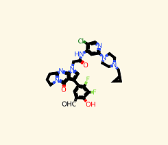 O=Cc1cc(-c2cn(CC(=O)Nc3cc(N4CCN(CC5CC5)CC4)ncc3Cl)c3nc4n(c(=O)c23)CCC4)c(F)c(F)c1O